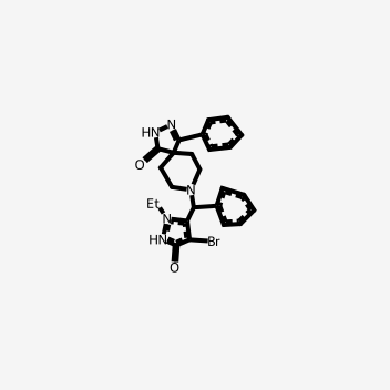 CCn1[nH]c(=O)c(Br)c1C(c1ccccc1)N1CCC2(CC1)C(=O)NN=C2c1ccccc1